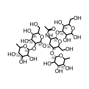 CC(=O)NC1[C@H](O[C@@H]2C(O)C(O)OC(CO)[C@@H]2O)OC(CO)[C@H](O[C@@H]2OC(C)[C@@H](O)[C@H](O)C2O)[C@@H]1O[C@@H]1OC(CO)[C@H](O)[C@H](O)C1O[C@@H]1OC(C)[C@@H](O)[C@H](O)C1O